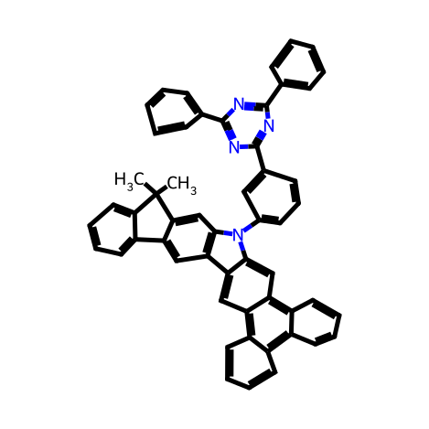 CC1(C)c2ccccc2-c2cc3c4cc5c6ccccc6c6ccccc6c5cc4n(-c4cccc(-c5nc(-c6ccccc6)nc(-c6ccccc6)n5)c4)c3cc21